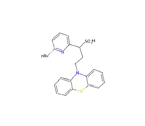 CCCCc1cccc(C(CCN2c3ccccc3Sc3ccccc32)S(=O)(=O)O)n1